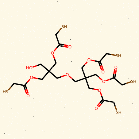 O=C(CS)OCC(CO)(COCC(COC(=O)CS)(COC(=O)CS)COC(=O)CS)COC(=O)CS